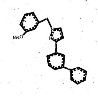 COc1cccc(Cn2ccc(-c3cccc(-c4ccccc4)c3)n2)c1